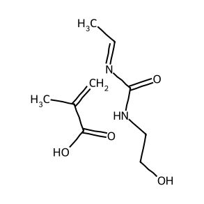 C=C(C)C(=O)O.CC=NC(=O)NCCO